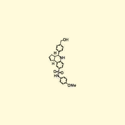 COc1ccc(NS(=O)(=O)c2ccc3c(c2)[C@H]2C=CC[C@H]2[C@@H](c2ccc(CO)cc2)N3)cc1